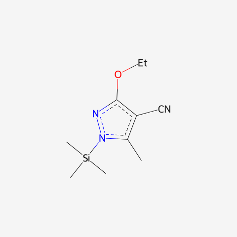 CCOc1nn([Si](C)(C)C)c(C)c1C#N